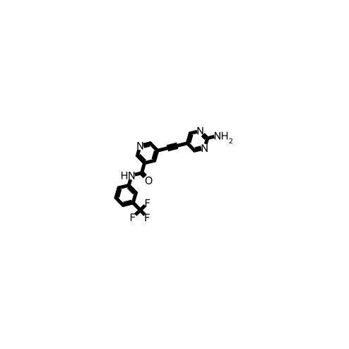 Nc1ncc(C#Cc2cncc(C(=O)Nc3cccc(C(F)(F)F)c3)c2)cn1